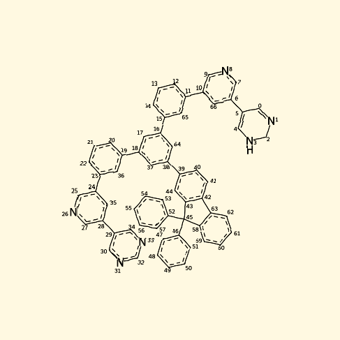 C1=NCNC=C1c1cncc(-c2cccc(-c3cc(-c4cccc(-c5cncc(-c6cncnc6)c5)c4)cc(-c4ccc5c(c4)C(c4ccccc4)(c4ccccc4)c4ccccc4-5)c3)c2)c1